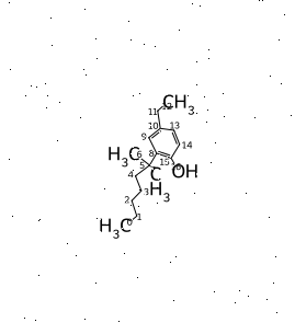 CCCCCC(C)(C)c1cc(CC)ccc1O